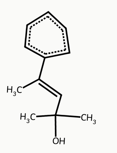 CC(=CC(C)(C)O)c1ccccc1